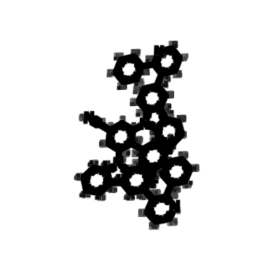 N#Cc1cc(-n2c3ccccc3c3cc(-c4cccnc4-c4ccccc4)ccc32)c(-c2cc(F)cc(F)c2)c(-n2c3ccccc3c3cc(-c4cccnc4-c4ccccc4)ccc32)c1